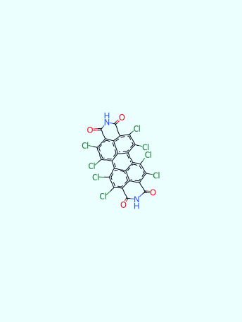 O=C1NC(=O)c2c(Cl)c(Cl)c3c4c(Cl)c(Cl)c5c6c(c(Cl)c(Cl)c(c7c(Cl)c(Cl)c1c2c73)c64)C(=O)NC5=O